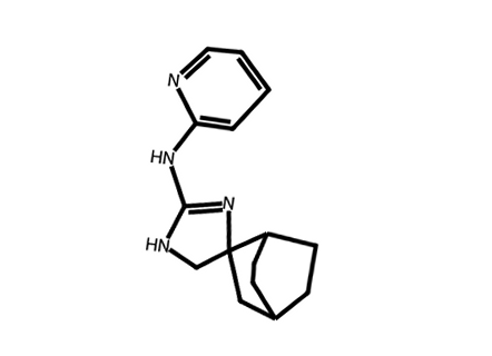 c1ccc(NC2=NC3(CN2)CC2CCC3CC2)nc1